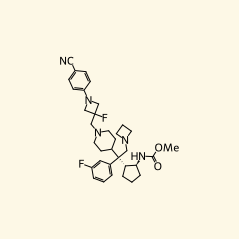 COC(=O)N[C@H]1CCC[C@@H]1C(CN1CCC1)(c1cccc(F)c1)C1CCN(CC2(F)CN(c3ccc(C#N)cc3)C2)CC1